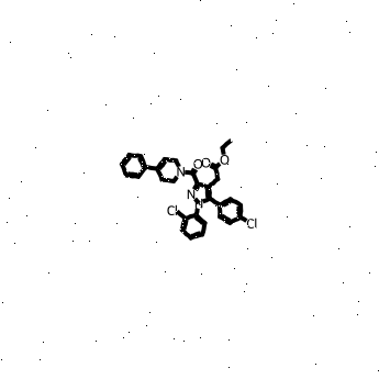 CCOC(=O)Cc1c(C(=O)N2CC=C(c3ccccc3)CC2)nn(-c2ccccc2Cl)c1-c1ccc(Cl)cc1